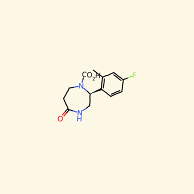 Cc1cc(F)ccc1[C@H]1CNC(=O)CCN1C(=O)O